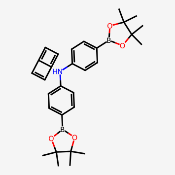 CC1(C)OB(c2ccc(Nc3ccc(B4OC(C)(C)C(C)(C)O4)cc3)cc2)OC1(C)C.c1cc2ccc1-2